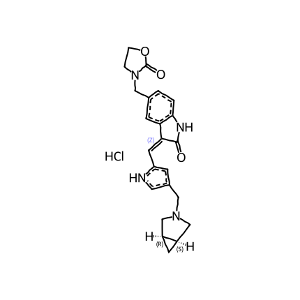 Cl.O=C1Nc2ccc(CN3CCOC3=O)cc2/C1=C/c1cc(CN2C[C@H]3C[C@H]3C2)c[nH]1